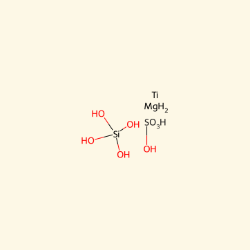 O=S(=O)(O)O.O[Si](O)(O)O.[MgH2].[Ti]